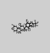 C[C@H]1C[C@@H](N2C(=N)N[C@](C)(c3cc(F)c4nc(C(C)(C)C)[nH]c4c3Cl)CC2=O)CCO1